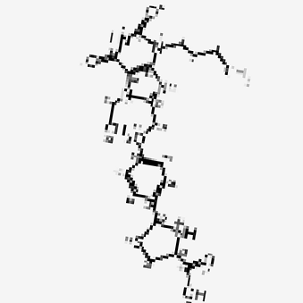 CCCCn1c(=O)[nH]c(=O)c2c1nc(COc1ccc(C3NC(C(=O)O)CS3)cc1)n2CC